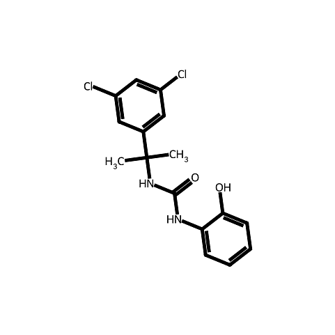 CC(C)(NC(=O)Nc1ccccc1O)c1cc(Cl)cc(Cl)c1